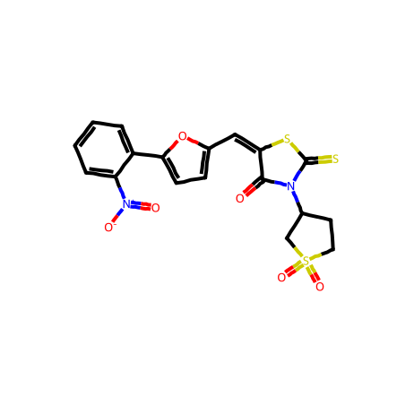 O=C1/C(=C\c2ccc(-c3ccccc3[N+](=O)[O-])o2)SC(=S)N1C1CCS(=O)(=O)C1